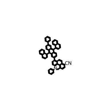 N#Cc1ccc2c3c1ccc1c(-c4ccc5c(-c6cccc7ccccc67)c6cc(-c7ccccc7)ccc6c(-c6cccc7ccccc67)c5c4)ccc(c13)N(c1ccccc1)C2